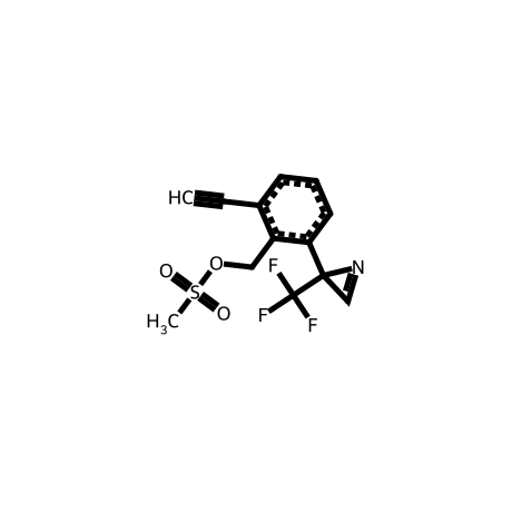 C#Cc1cccc(C2(C(F)(F)F)C=N2)c1COS(C)(=O)=O